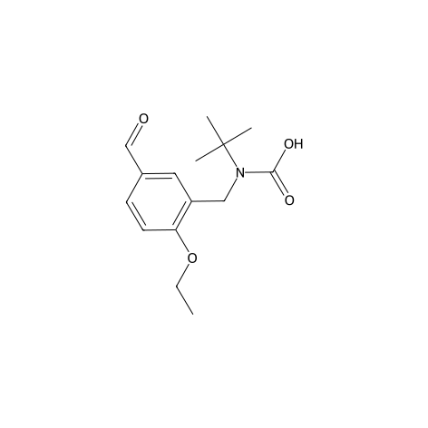 CCOc1ccc(C=O)cc1CN(C(=O)O)C(C)(C)C